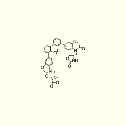 O=C1NC(CN2C(=O)COc3cc(-c4cccc(-c5cccc(-c6ccc7c(c6)OCC(=O)N7CC6COC(=O)N6)c5Cl)c4Cl)ccc32)CO1